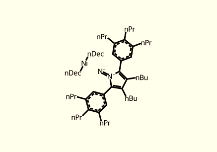 CCCCC1=C(c2cc(CCC)c(CCC)c(CCC)c2)[N+](=[N-])C(c2cc(CCC)c(CCC)c(CCC)c2)=C1CCCC.CCCCCCCCC[CH2][Ni][CH2]CCCCCCCCC